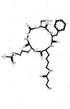 CC(C)CCC(=O)NCCCCC1NC(=O)C(Cc2ccccc2)NC(=O)[C@H](CC(=O)O)NC(=O)CNC(=O)[C@H](CCCNC(=N)N)NC1=O